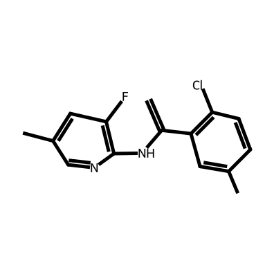 C=C(Nc1ncc(C)cc1F)c1cc(C)ccc1Cl